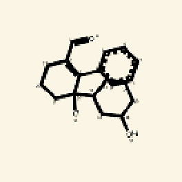 O=CC1=C(c2ccccc2)C(Cl)(C2CCCC(O)C2)CCC1